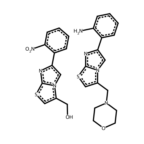 Nc1ccccc1-c1cn2c(CN3CCOCC3)csc2n1.O=[N+]([O-])c1ccccc1-c1cn2c(CO)csc2n1